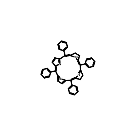 C1=Cc2nc1c(-c1ccccc1)c1[nH]c(c(-c3ccccc3)c3nc(c(-c4ccccc4)c4ccc([nH]4)c2-c2ccccc2)CC3)CC1